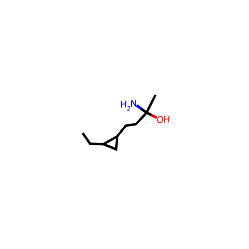 CCC1CC1CCC(C)(N)O